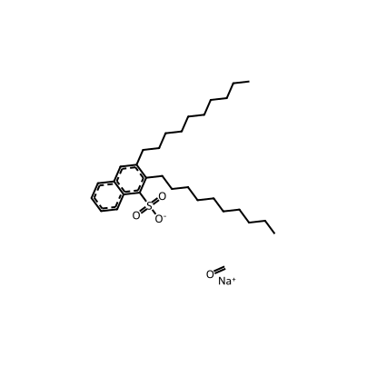 C=O.CCCCCCCCCCc1cc2ccccc2c(S(=O)(=O)[O-])c1CCCCCCCCCC.[Na+]